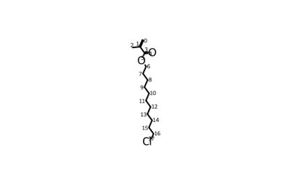 C=C(C)C(=O)OCCCCCCCCCCCCl